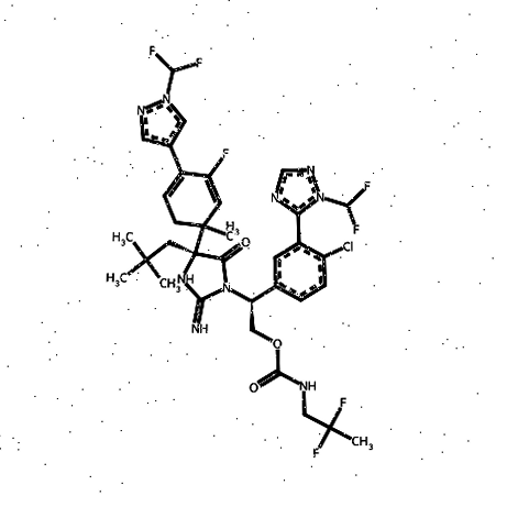 CC(C)(C)C[C@]1(C2(C)C=C(F)C(c3cnn(C(F)F)c3)=CC2)NC(=N)N([C@H](COC(=O)NCC(C)(F)F)c2ccc(Cl)c(-c3ncnn3C(F)F)c2)C1=O